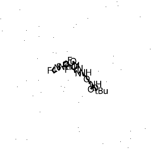 Cn1c(=O)c(-c2c(F)ccc(NSN3CC[C@@H](F)C3)c2F)cc2cnc(NCCOCCNC(=O)OC(C)(C)C)nc21